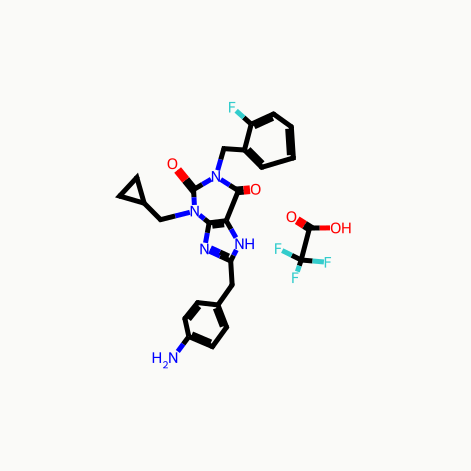 Nc1ccc(Cc2nc3c([nH]2)c(=O)n(Cc2ccccc2F)c(=O)n3CC2CC2)cc1.O=C(O)C(F)(F)F